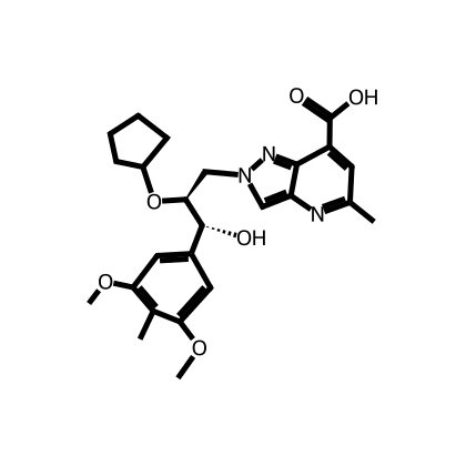 COc1cc([C@@H](O)[C@H](Cn2cc3nc(C)cc(C(=O)O)c3n2)OC2CCCC2)cc(OC)c1C